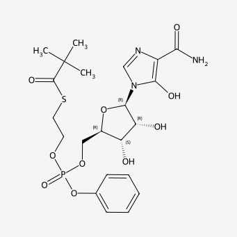 CC(C)(C)C(=O)SCCOP(=O)(OC[C@H]1O[C@@H](n2cnc(C(N)=O)c2O)[C@H](O)[C@@H]1O)Oc1ccccc1